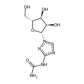 NC(=O)Nc1ncn([C@@H]2O[C@H](CO)[C@@H](O)[C@H]2O)n1